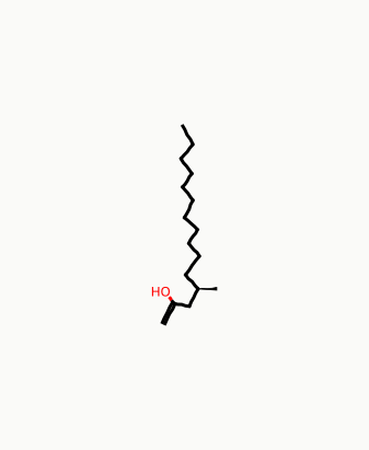 C=C(O)C[C@H](C)CCCCCCCCCCC